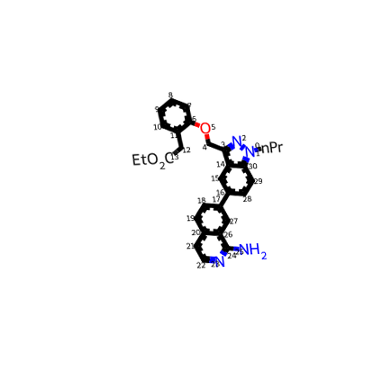 CCCn1nc(COc2ccccc2CC(=O)OCC)c2cc(-c3ccc4ccnc(N)c4c3)ccc21